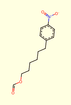 O=COCCCCCCc1ccc([N+](=O)[O-])cc1